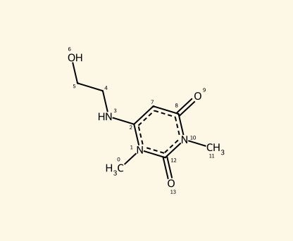 Cn1c(NCCO)cc(=O)n(C)c1=O